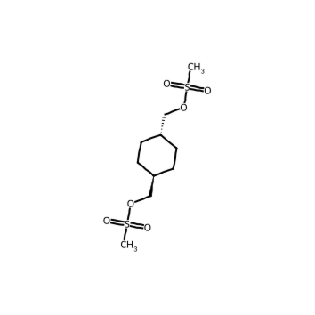 CS(=O)(=O)OC[C@H]1CC[C@H](COS(C)(=O)=O)CC1